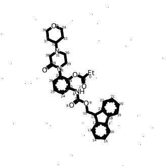 CCC(=O)Oc1c(NC(=O)OCC2c3ccccc3-c3ccccc32)cccc1N1CCN(C2CCOCC2)CC1=O